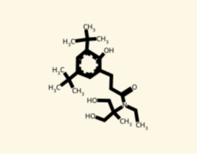 CCN(C(=O)CCc1cc(C(C)(C)C)cc(C(C)(C)C)c1O)C(C)(CO)CO